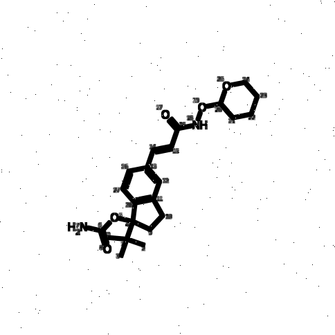 CC(C)(C)C1(OC(N)=O)CCc2cc(C=CC(=O)NOC3CCCCO3)ccc21